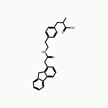 CC(Cc1ccc(CCNC(=O)Cc2cccc3c2Cc2ccccc2-3)cc1)C(=O)O